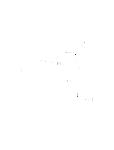 CCNO[N+](=O)[O-].O=[N+]([O-])O